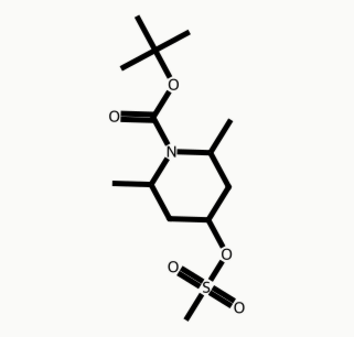 CC1CC(OS(C)(=O)=O)CC(C)N1C(=O)OC(C)(C)C